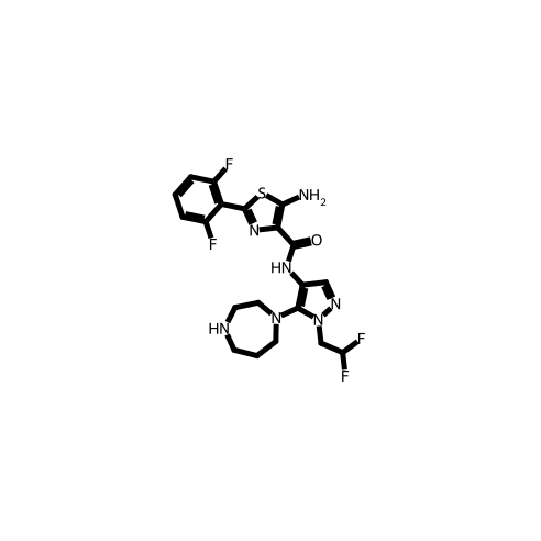 Nc1sc(-c2c(F)cccc2F)nc1C(=O)Nc1cnn(CC(F)F)c1N1CCCNCC1